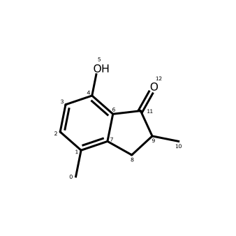 Cc1ccc(O)c2c1CC(C)C2=O